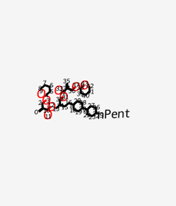 C=C(COC1CCCCO1)C(=O)OCC(CCC1CCC(C2CCC(CCCCC)CC2)CC1)COC(=O)C(=C)COC1CCCCO1